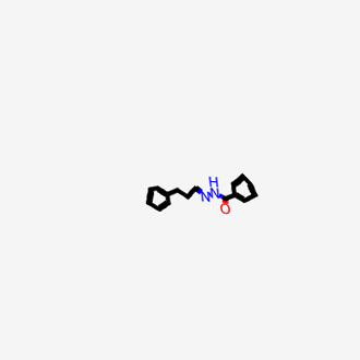 O=C(NN=CCCc1ccccc1)c1ccccc1